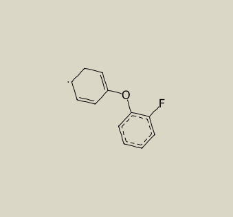 Fc1ccccc1OC1=CC[CH]C=C1